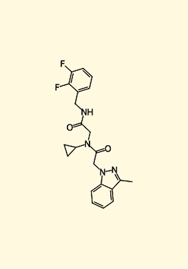 Cc1nn(CC(=O)N(CC(=O)NCc2cccc(F)c2F)C2CC2)c2ccccc12